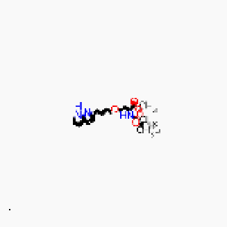 COC(=O)C(=CCOCCCCc1ccc2c(n1)NCCC2)NC(=O)OC(C)(C)C